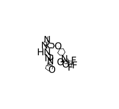 Cn1cnc2c(Nc3ccn([C@H]4CCCOC4)n3)cc(O[C@H]3CC[C@@H](N4C[C@H](C(F)(F)F)OC4=O)CC3)cc21